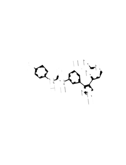 Nc1nccc(-c2c[nH]nc2-c2cccc(NC(=O)Nc3ccc(C(F)(F)F)cc3)c2)n1